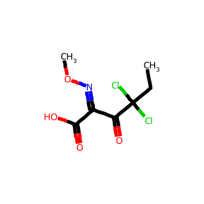 CCC(Cl)(Cl)C(=O)C(=NOC)C(=O)O